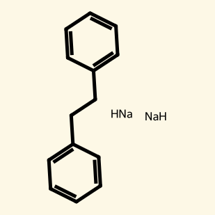 [NaH].[NaH].c1ccc(CCc2ccccc2)cc1